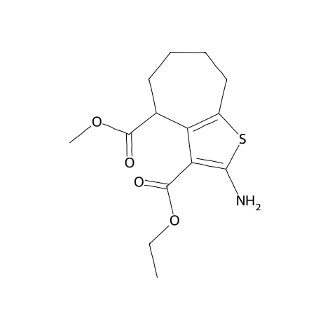 CCOC(=O)c1c(N)sc2c1C(C(=O)OC)CCCC2